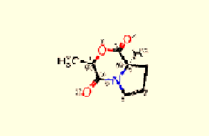 C[C@H]1OC(=O)[C@H]2CCCN2C1=O